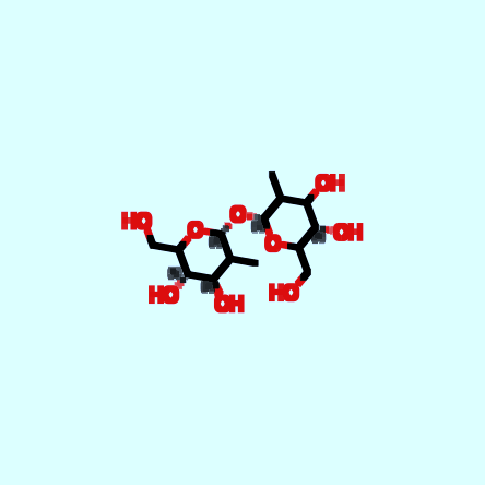 CC1C(O)[C@H](O)C(CO)O[C@@H]1O[C@H]1OC(CO)[C@@H](O)[C@H](O)C1C